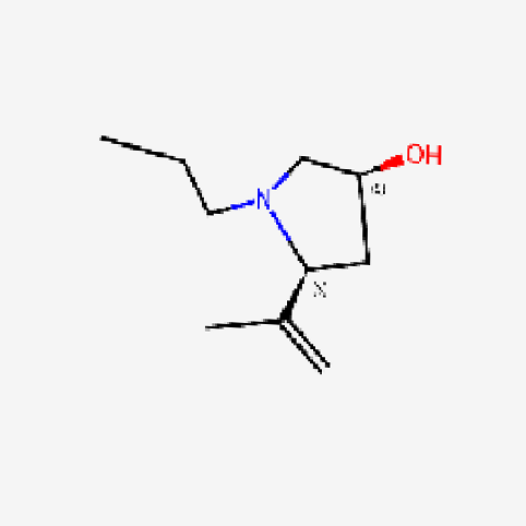 C=C(C)[C@@H]1C[C@H](O)CN1CCC